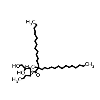 CCCCCCCCCCCCCCC(C)(CCCCCCCCCCCCCC)C(=O)N(CCCC)CC(O)CO